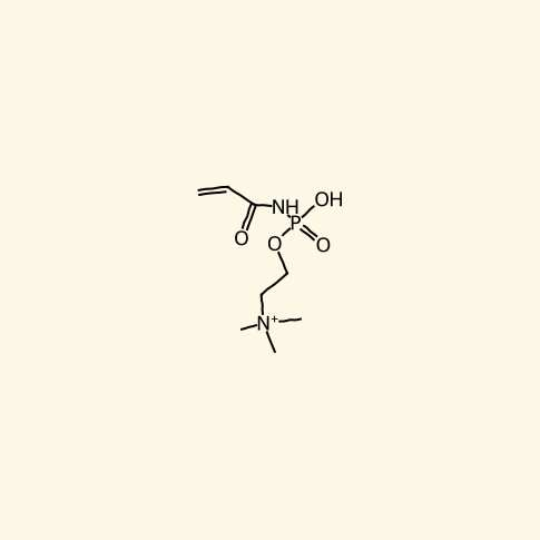 C=CC(=O)NP(=O)(O)OCC[N+](C)(C)C